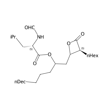 CCCCCCCCCCCCCC(CC1OC(=O)[C@H]1CCCCCC)OC(=O)[C@H](CC(C)C)NC=O